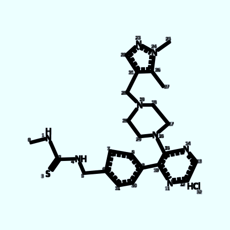 CNC(=S)NCc1ccc(-c2nccnc2N2CCN(Cc3cnn(C)c3C)CC2)cc1.Cl